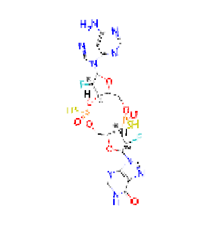 Nc1ncnc2c1ncn2C1OC2COP(=O)(S)[C@@H]3C(COP(=O)(S)O[C@H]2[C@H]1F)OC(n1cnc2c(=O)[nH]cnc21)[C@@H]3F